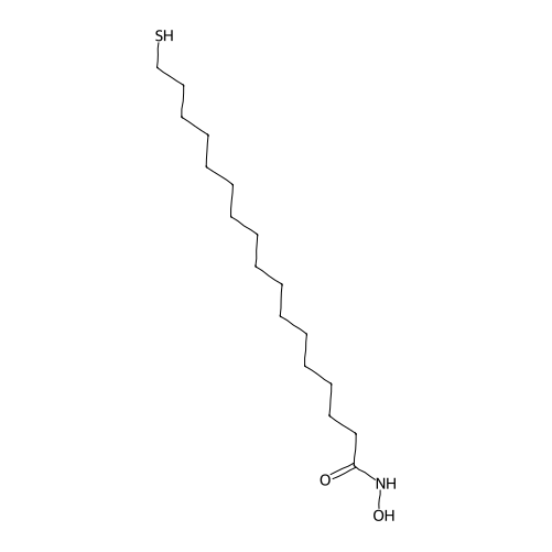 O=C(CCCCCCCCCCCCCCCCS)NO